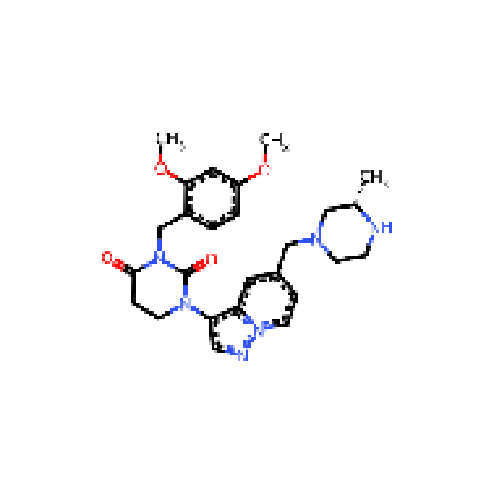 COc1ccc(CN2C(=O)CCN(c3cnn4ccc(CN5CCN[C@@H](C)C5)cc34)C2=O)c(OC)c1